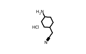 Cl.N#CCC1CCC(N)CC1